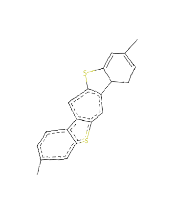 CC1=CCC2C(=C1)Sc1cc3c(cc12)sc1cc(C)ccc13